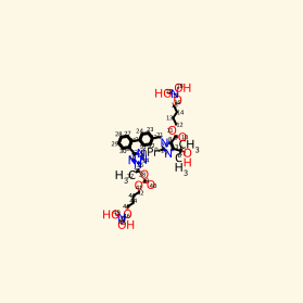 CCCc1nc(C(C)(C)O)c(C(=O)OCCCCON(O)O)n1Cc1ccc(-c2ccccc2-c2nnn(C(C)OC(=O)OCCCCON(O)O)n2)cc1